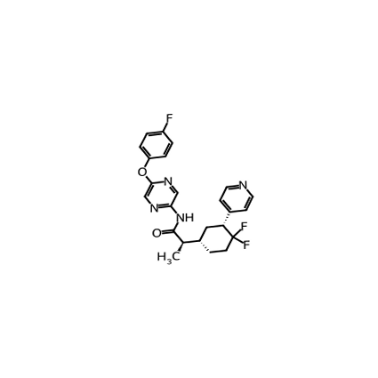 C[C@@H](C(=O)Nc1cnc(Oc2ccc(F)cc2)cn1)[C@H]1CCC(F)(F)[C@@H](c2ccncc2)C1